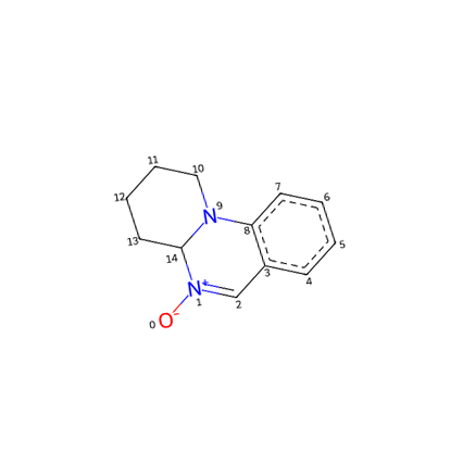 [O-][N+]1=Cc2ccccc2N2CCCCC21